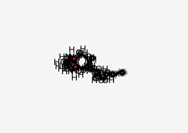 CC(c1ccccc1)C1NC(=O)CNC(=O)C(CO)NC(=O)C(C(O)C2CNC(=N)N2C2OC(CO)C(O)C(O)C2O)NC(=O)C(C(O)C2CNC(=N)N2)NC(=O)C(Cc2ccc(OC3OC(CO)C(OC4OC5COC(c6ccc(/C=C/c7ccccc7)cc6)OC5C(O)C4O)C(O)C3O)cc2)NC1=O